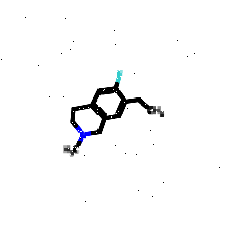 CCc1cc2c(cc1F)CCN(C)C2